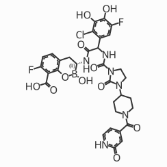 O=C(O)c1c(F)ccc2c1OB(O)[C@@H](NC(=O)C(NC(=O)N1CCN(C3CCN(C(=O)c4cc[nH]c(=O)c4)CC3)C1=O)c1cc(F)c(O)c(O)c1Cl)C2